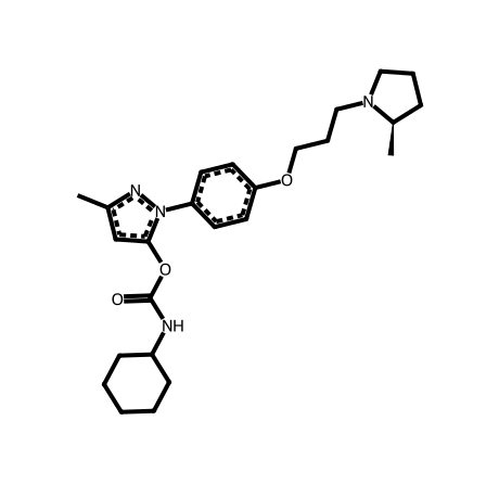 Cc1cc(OC(=O)NC2CCCCC2)n(-c2ccc(OCCCN3CCC[C@H]3C)cc2)n1